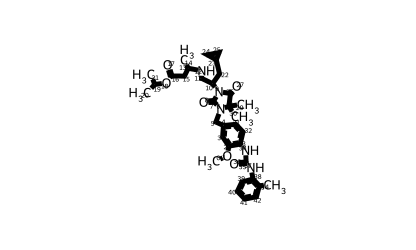 COc1cc(CN2C(=O)N(C(CNC(C)CC(=O)OC(C)C)CC3CC3)C(=O)C2(C)C)ccc1NC(=O)Nc1ccccc1C